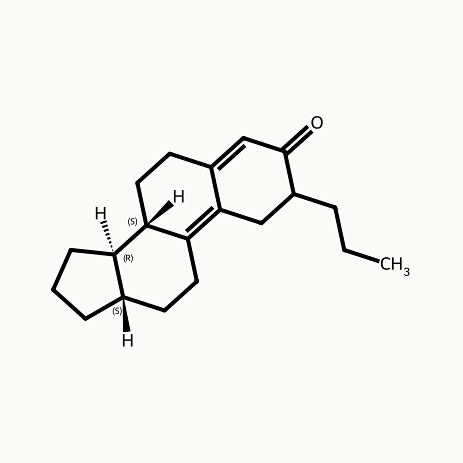 CCCC1CC2=C3CC[C@@H]4CCC[C@H]4[C@@H]3CCC2=CC1=O